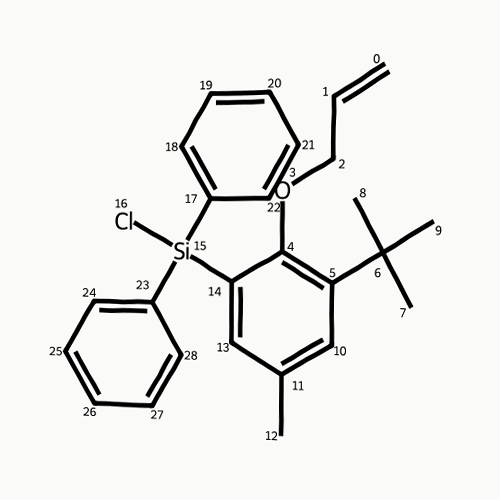 C=CCOc1c(C(C)(C)C)cc(C)cc1[Si](Cl)(c1ccccc1)c1ccccc1